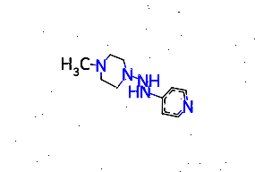 CN1CCN(NNc2ccncc2)CC1